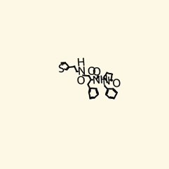 O=C(NCCc1ccsc1)C(=O)C(Cc1ccccc1)NC(=O)[C@@H]1CCC(=O)N1Cc1ccccc1